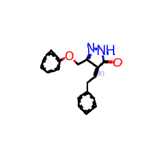 O=C1NN=C(COc2ccccc2)/C1=C\Cc1ccccc1